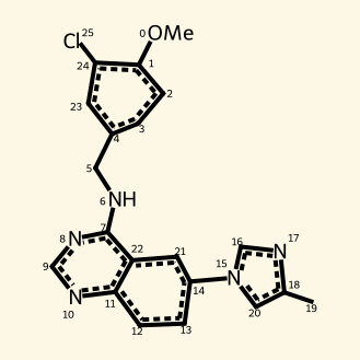 COc1ccc(CNc2ncnc3ccc(-n4cnc(C)c4)cc23)cc1Cl